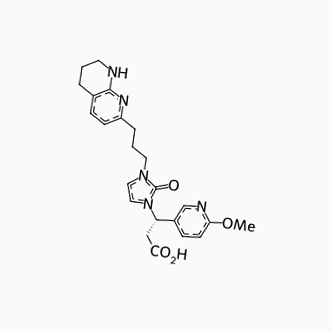 COc1ccc([C@H](CC(=O)O)n2ccn(CCCc3ccc4c(n3)NCCC4)c2=O)cn1